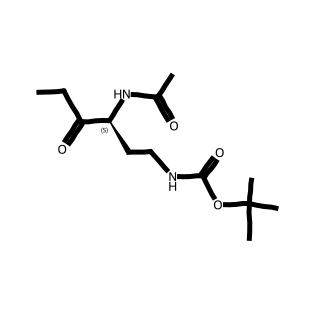 CCC(=O)[C@H](CCNC(=O)OC(C)(C)C)NC(C)=O